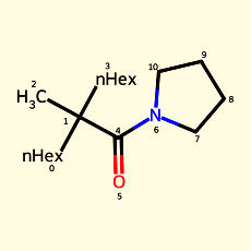 CCCCCCC(C)(CCCCCC)C(=O)N1CCCC1